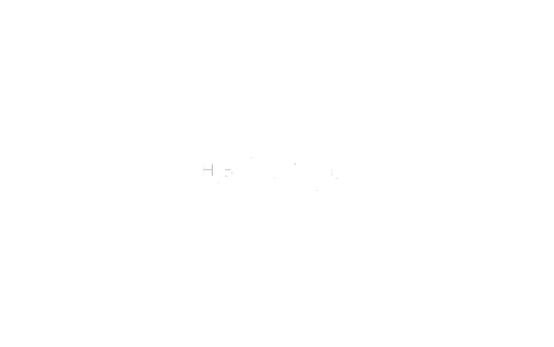 BCCCCCl